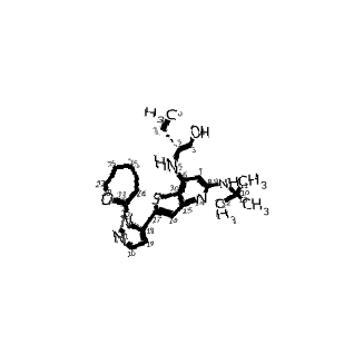 CC[C@H](CO)Nc1cc(NC(C)(C)C)nc2cc(-c3ccnn3C3CCCCO3)sc12